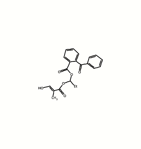 CCC(OC(=O)C(C)=CO)OC(=O)c1ccccc1C(=O)c1ccccc1